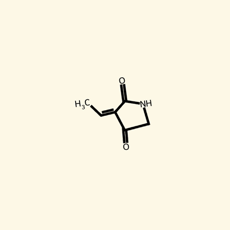 CC=C1C(=O)CNC1=O